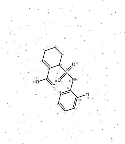 O=C(O)C1=CCCCC1S(=O)(=O)Nc1ccccc1Cl